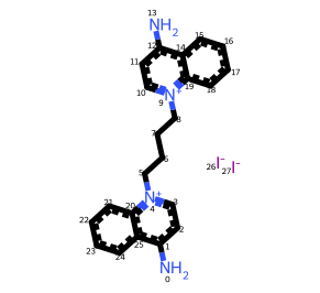 Nc1cc[n+](CCCC[n+]2ccc(N)c3ccccc32)c2ccccc12.[I-].[I-]